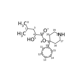 CC(C)CC(O)C(=O)OC1(c2ccccc2)CCNCC1